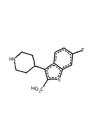 O=C(O)c1sc2cc(F)ccc2c1C1CCNCC1